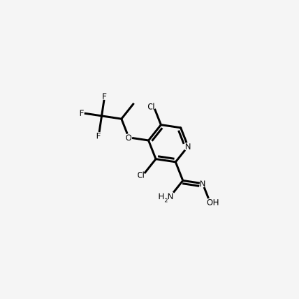 CC(Oc1c(Cl)cnc(C(N)=NO)c1Cl)C(F)(F)F